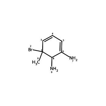 CC1(Br)C=CC=C(N)C1N